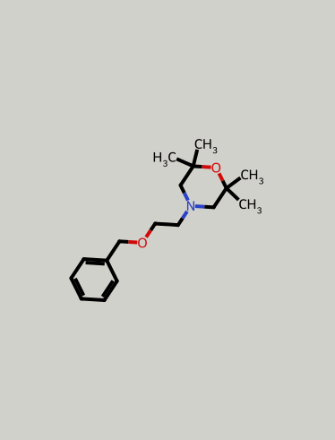 CC1(C)CN(CCOCc2ccccc2)CC(C)(C)O1